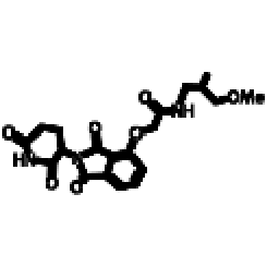 COCC(C)CNC(=O)COc1cccc2c1C(=O)N(C1CCC(=O)NC1=O)C2=O